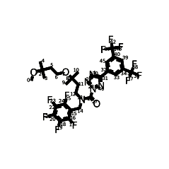 COC(C)(C)CCOC(C)(C)CCN(Cc1c(F)c(F)c(F)c(F)c1F)C(=O)n1nnc(-c2cc(C(F)(F)F)cc(C(F)(F)F)c2)n1